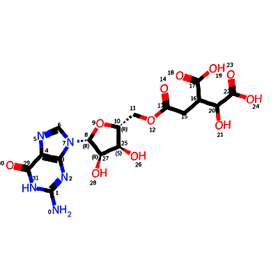 Nc1nc2c(ncn2[C@@H]2O[C@H](COC(=O)CC(C(=O)O)C(O)C(=O)O)[C@@H](O)[C@H]2O)c(=O)[nH]1